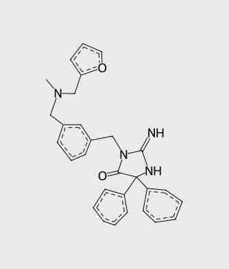 CN(Cc1cccc(CN2C(=N)NC(c3ccccc3)(c3ccccc3)C2=O)c1)Cc1ccco1